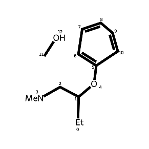 CCC(CNC)Oc1ccccc1.CO